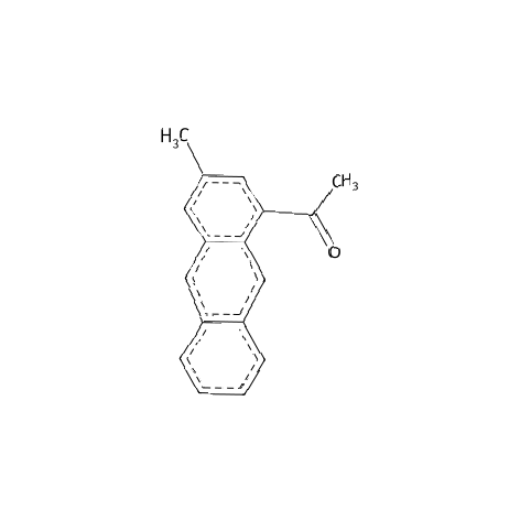 CC(=O)c1cc(C)cc2cc3ccccc3cc12